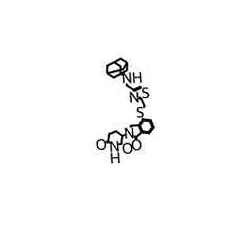 O=C1CCC(N2Cc3c(SCc4nc(CNC56CC7CC(CC(C7)C5)C6)cs4)cccc3C2=O)C(=O)N1